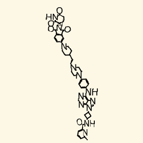 Cc1cccc(C(=O)NC2CC(n3cnc4c(Nc5ccc(N6CCN(CCC7CCN(c8ccc9c(c8)C(=O)N([C@H]8CCC(=O)NC8=O)C9=O)CC7)CC6)cc5)ncnc43)C2)n1